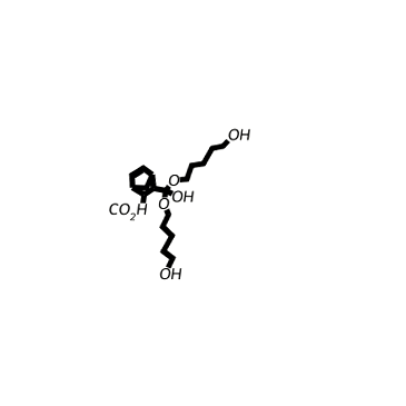 O=C(O)C1C2C=CC(C2)C1C(O)(OCCCCCO)OCCCCCO